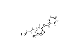 O=C(N[C@@H](CCCO)C(=O)O)OCc1ccccc1